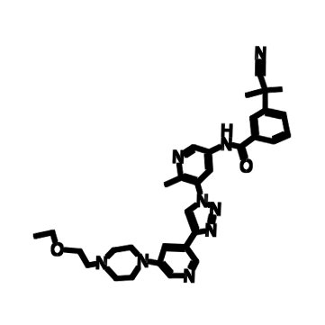 CCOCCN1CCN(c2cncc(-c3cn(-c4cc(NC(=O)c5cccc(C(C)(C)C#N)c5)cnc4C)nn3)c2)CC1